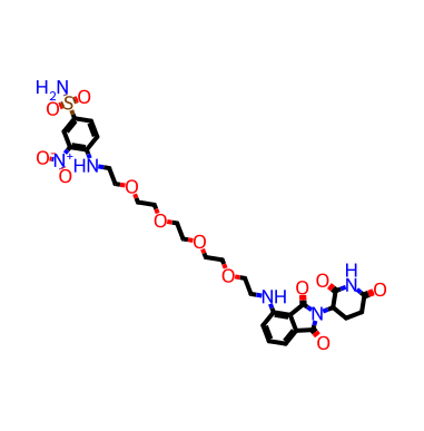 NS(=O)(=O)c1ccc(NCCOCCOCCOCCOCCNc2cccc3c2C(=O)N(C2CCC(=O)NC2=O)C3=O)c([N+](=O)[O-])c1